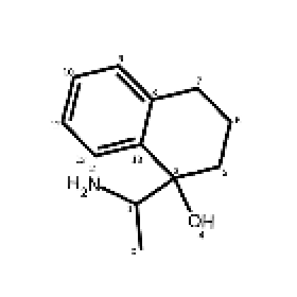 CC(N)C1(O)CCCc2ccccc21